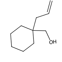 C=CCC1(CO)CCCCC1